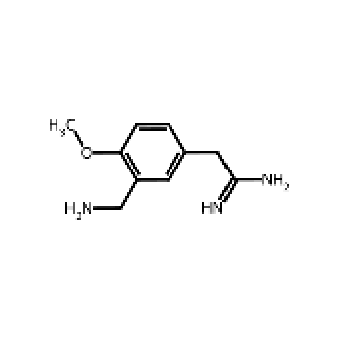 COc1ccc(CC(=N)N)cc1CN